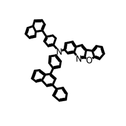 C1=CC2C=CC=C(C3=CC=C(N(c4ccc(-c5cc(-c6ccccc6)cc6ccccc56)cc4)c4ccc5cc6c(nc5c4)oc4ccccc46)CC3)C2C=C1